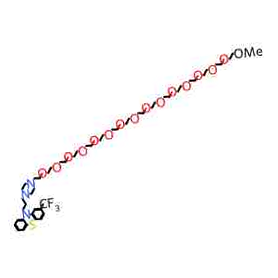 COCCOCCOCCOCCOCCOCCOCCOCCOCCOCCOCCOCCOCCOCCOCCOCCN1CCN(CCCN2c3ccccc3Sc3ccc(C(F)(F)F)cc32)CC1